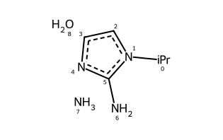 CC(C)n1ccnc1N.N.O